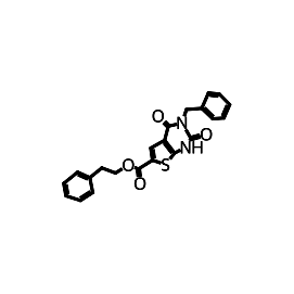 O=C(OCCc1ccccc1)c1cc2c(=O)n(Cc3ccccc3)c(=O)[nH]c2s1